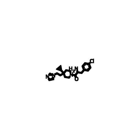 NC(Cc1ccc(Cl)cc1)C(=O)N1CCC(CCn2ccnc2)(C2CC2)CC1